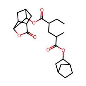 CCC(CC(C)C(=O)OC1CC2CCC1C2)C(=O)OC1C2CC3C(=O)OC1C3C2